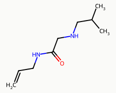 C=CCNC(=O)CNCC(C)C